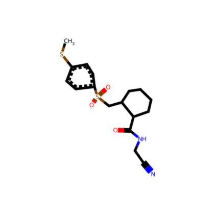 CSc1ccc(S(=O)(=O)CC2CCCCC2C(=O)NCC#N)cc1